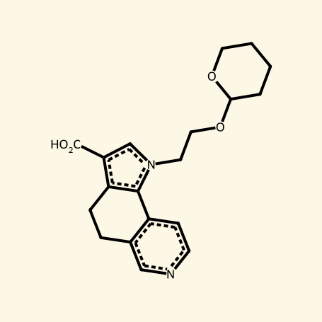 O=C(O)c1cn(CCOC2CCCCO2)c2c1CCc1cnccc1-2